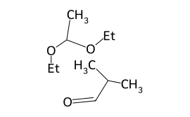 CC(C)C=O.CCOC(C)OCC